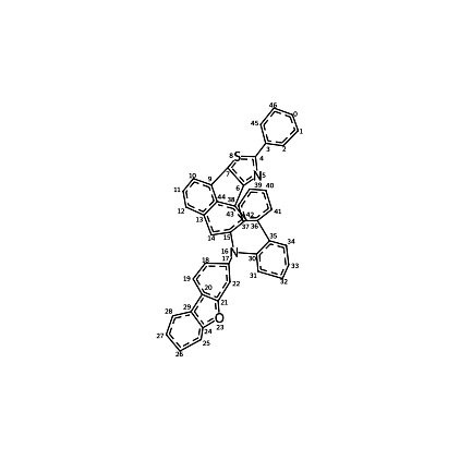 c1ccc(-c2nc3c(s2)-c2cccc4cc(N(c5ccc6c(c5)oc5ccccc56)c5ccccc5-c5ccccc5)cc-3c24)cc1